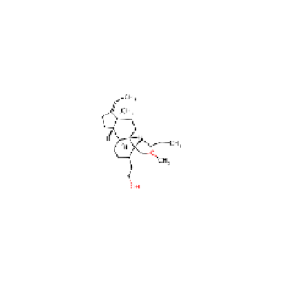 C/C=C1/CC[C@H]2[C@@H]3CC[C@H](CCO)[C@@](CCCC)(COC)[C@H]3CC[C@]12C